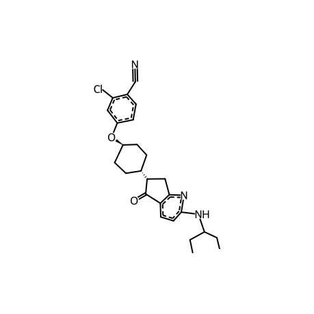 CCC(CC)Nc1ccc2c(n1)CC([C@H]1CC[C@H](Oc3ccc(C#N)c(Cl)c3)CC1)C2=O